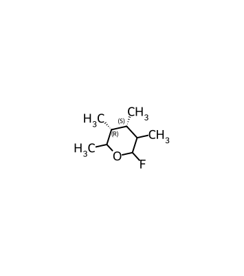 CC1C(F)OC(C)[C@H](C)[C@@H]1C